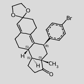 C[C@]12C[C@H](c3ccc(Br)cc3)C3=C4CCC5(C=C4CC[C@H]3[C@@H]1CCC2=O)OCCO5